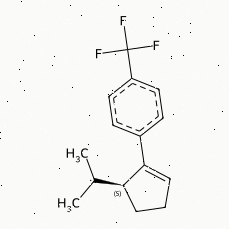 C[C](C)[C@@H]1CCC=C1c1ccc(C(F)(F)F)cc1